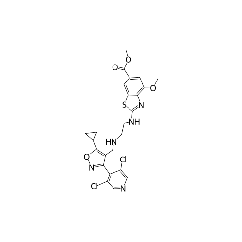 COC(=O)c1cc(OC)c2nc(NCCNCc3c(-c4c(Cl)cncc4Cl)noc3C3CC3)sc2c1